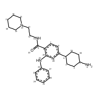 NC1CCC(c2ccc(C(=O)NCCN3CCCCC3)c(Nc3ccccc3)n2)CC1